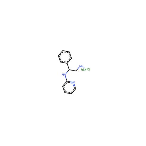 Cl.Cl.NCC(Nc1ccccn1)c1ccccc1